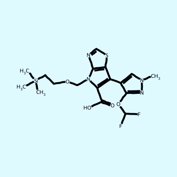 Cn1cc(-c2c(C(=O)O)n(COCC[Si](C)(C)C)c3ncsc23)c(OC(F)F)n1